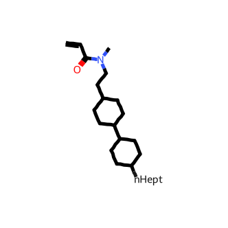 C=CC(=O)N(C)CCC1CCC(C2CCC(CCCCCCC)CC2)CC1